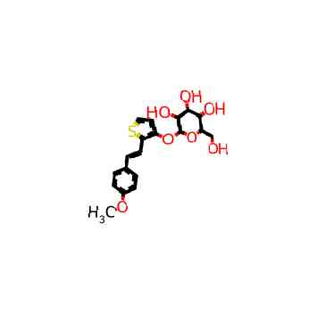 COc1ccc(/C=C/c2sccc2OC2OC(CO)C(O)C(O)C2O)cc1